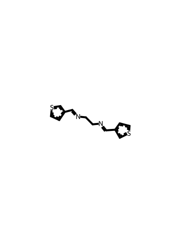 C(=N\CC/N=C/c1ccsc1)/c1ccsc1